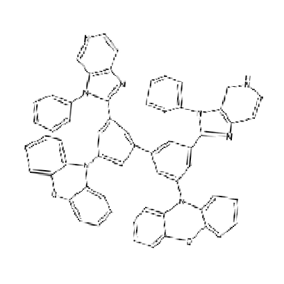 C1=Cc2nc(-c3cc(-c4cc(-c5nc6ccncc6n5-c5ccccc5)cc(N5c6ccccc6Oc6ccccc65)c4)cc(N4c5ccccc5Oc5ccccc54)c3)n(-c3ccccc3)c2CN1